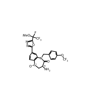 COC(F)(c1nnc(-c2ccc3c(c2)N(Cc2ccc(OC(F)(F)F)cc2)C(=O)[C@@H](N)C[S+]3[O-])o1)C(F)(F)F